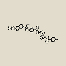 Cc1ccc(C(=O)OC2COC3C(OC(=O)c4ccc(OC(=O)c5ccc6cc(O)ccc6c5)cc4)COC23)cc1